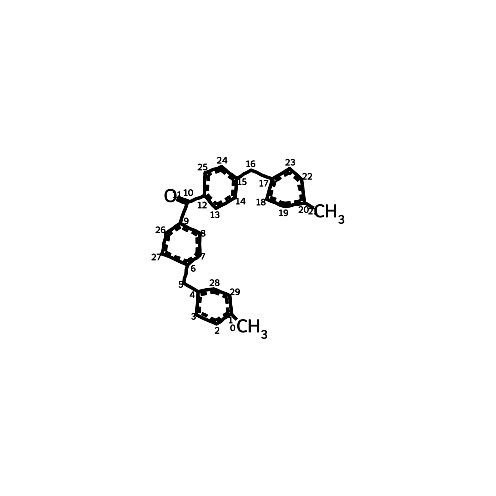 Cc1ccc(Cc2ccc(C(=O)c3ccc(Cc4ccc(C)cc4)cc3)cc2)cc1